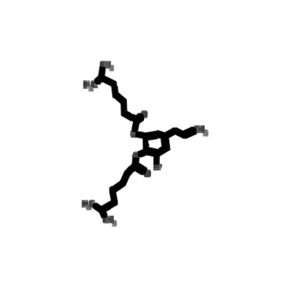 C=CCc1cc(Br)c(OC(=O)CCCCC(C)C)c(OC(=O)CCCCC(C)C)c1